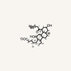 CNCC(=O)C1C[C@@H](O)C[C@H]2CCC3C(C[C@H](O)[C@@]4(C)C3CC[C@@H]4[C@H](C)CCC(=O)[O-])[C@@]12C.[Na+]